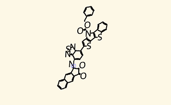 O=C(OCc1ccccc1)n1c2cc(-c3ccc(/N=c4\c(=O)c(=O)c5cc6ccccc6cc45)c4nsnc34)sc2c2sc3ccccc3c21